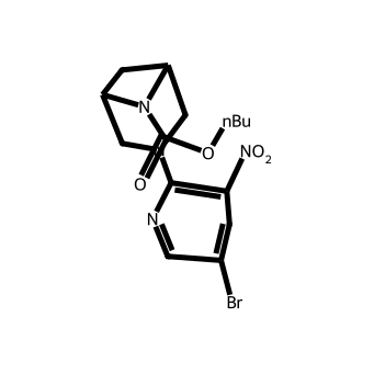 CCCCOC(=O)N1C2CC1CN(c1ncc(Br)cc1[N+](=O)[O-])C2